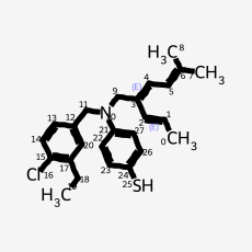 C/C=C/C(=C\C=C(C)C)CN(Cc1ccc(Cl)c(CC)c1)c1ccc(S)cc1